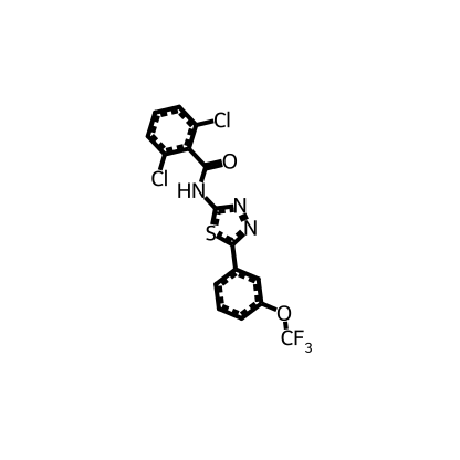 O=C(Nc1nnc(-c2cccc(OC(F)(F)F)c2)s1)c1c(Cl)cccc1Cl